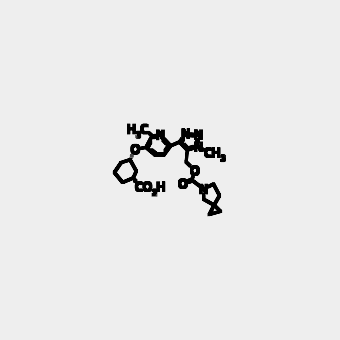 Cc1nc(-c2nnn(C)c2COC(=O)N2CCC3(CC3)C2)ccc1O[C@H]1CCC[C@H](C(=O)O)C1